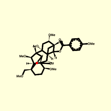 CCN1C[C@]2(COC)CC[C@H](OC)[C@]34C1[C@H]([C@H](OC)[C@H]23)[C@@]1(OC(C)=O)C[C@H](OC)[C@@]2(O)C[C@@H]4[C@@H]1[C@H]2OC(=O)c1ccc(OC)cc1